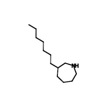 CCCCCCCC1CCCCNC1